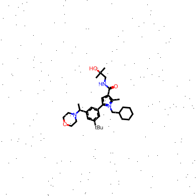 Cc1c(C(=O)NCC(C)(C)O)cc(-c2cc(C(C)N3CCOCC3)cc(C(C)(C)C)c2)n1CC1CCCCC1